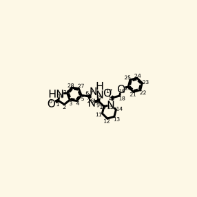 O=C1Cc2cc(-c3n[nH]c(C4CCCCN4C(=O)COc4ccccc4)n3)ccc2N1